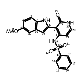 COc1ccc2[nH]c(-c3c(NS(=O)(=O)c4ccccc4)cc[nH]c3=O)cc2c1